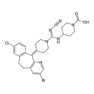 N#CN=C(NC1CCN(C(=O)O)CC1)N1CCC(=C2c3ccc(Cl)cc3CCc3cc(Br)cnc32)CC1